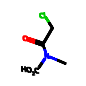 CN(C(=O)O)C(=O)CCl